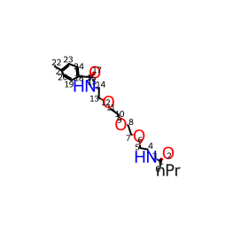 CCCC(=O)NCCOCCOCCOCCNC(=O)c1ccc(C)cc1